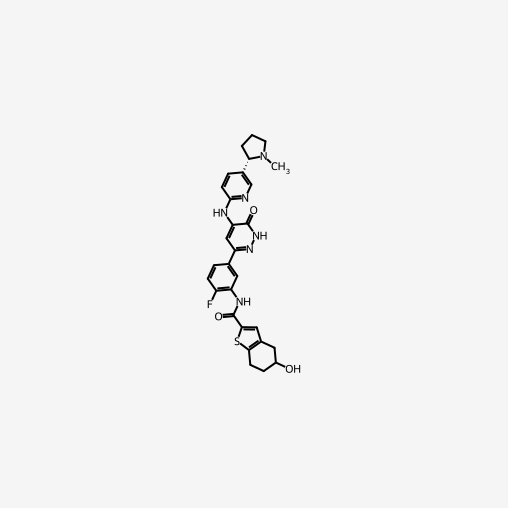 CN1CCC[C@H]1c1ccc(Nc2cc(-c3ccc(F)c(NC(=O)c4cc5c(s4)CCC(O)C5)c3)n[nH]c2=O)nc1